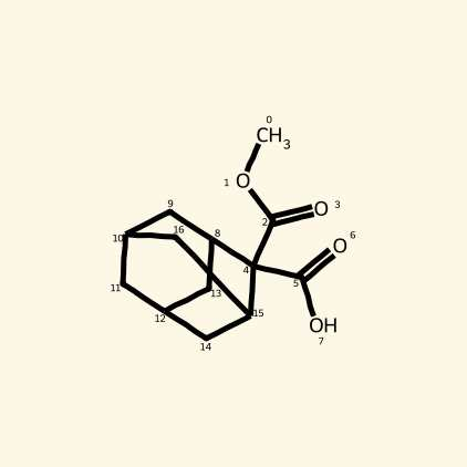 COC(=O)C1(C(=O)O)C2CC3CC(C2)CC1C3